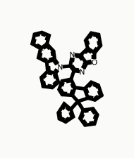 c1ccc(C2(c3ccccc3)c3ccccc3-c3c(-c4nc5oc6ccccc6c5nc4-n4c5ccccc5c5cc6ccccc6cc54)cccc32)cc1